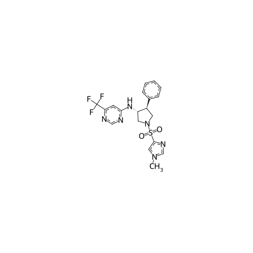 Cn1cnc(S(=O)(=O)N2C[C@H](Nc3cc(C(F)(F)F)ncn3)[C@@H](c3ccccc3)C2)c1